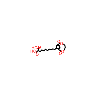 O=C1OCCCCOC(=O)c2ccc1cc2CCCCCCCCCC(C(=O)O)C(=O)O